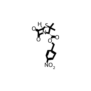 CC1(C)S[C@@H]2C(=O)C(=O)N2[C@H]1C(=O)OCc1ccc([N+](=O)[O-])cc1